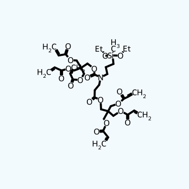 C=CC(=O)OCC(COC(=O)C=C)(COC(=O)C=C)COC(=O)CCN(CCC[Si](C)(OCC)OCC)C(=O)OCC(COC(=O)C=C)(COC(=O)C=C)COC(=O)C=C